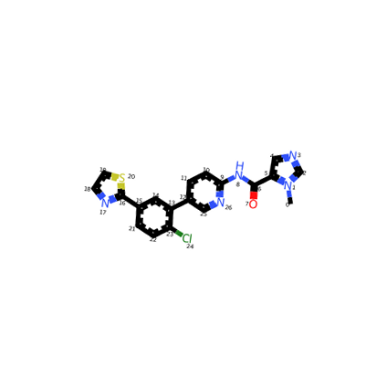 Cn1cncc1C(=O)Nc1ccc(-c2cc(-c3nccs3)ccc2Cl)cn1